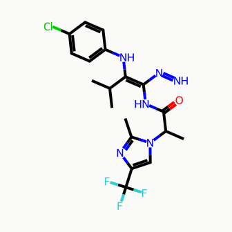 Cc1nc(C(F)(F)F)cn1C(C)C(=O)N/C(N=N)=C(/Nc1ccc(Cl)cc1)C(C)C